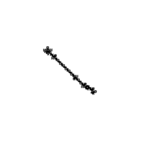 O=C(CCCC[C@@H]1SC[C@@H]2NC(=O)N[C@@H]21)NCCOCCOCCOCCOCCOCCOCCNC(=O)CCOCCOCCC(=O)Nc1ccc(CCC(=O)N2CCC2=O)cc1